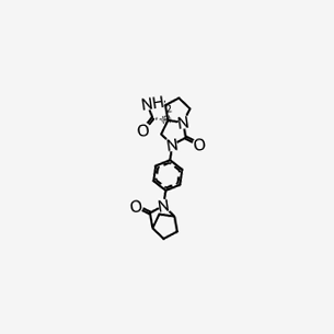 NC(=O)[C@]12[CH]CCN1C(=O)N(c1ccc(N3C(=O)C4CCC3C4)cc1)C2